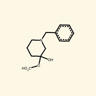 O=C(O)OC1(O)CCCN(Cc2ccccc2)C1